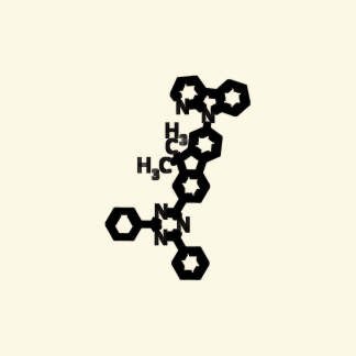 CC1(C)c2cc(-c3nc(C4=CC=CCC4)nc(-c4ccccc4)n3)ccc2-c2ccc(-n3c4ccccc4c4cccnc43)cc21